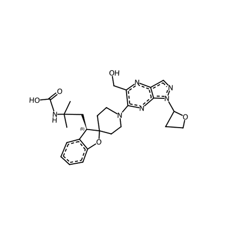 CC(C)(C[C@@H]1c2ccccc2OC12CCN(c1nc3c(cnn3C3CCO3)nc1CO)CC2)NC(=O)O